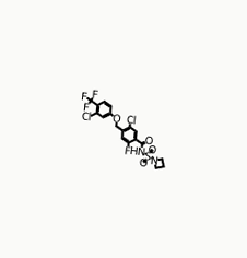 O=C(NS(=O)(=O)N1CCC1)c1cc(Cl)c(COc2ccc(C(F)(F)F)c(Cl)c2)cc1F